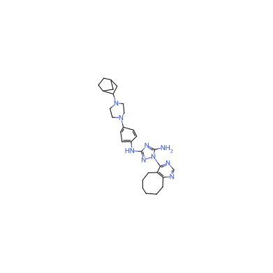 Nc1nc(Nc2ccc(N3CCN(C4CC5CCC4C5)CC3)cc2)nn1-c1ncnc2c1CCCCCC2